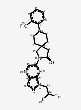 O=C1CC2(CCN(c3ncccc3C(F)(F)F)CC2)CN1c1cnc2cnn(CC(F)F)c2n1